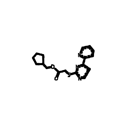 O=C(CSc1nccc(-c2ccccn2)n1)OCC1CCCC1